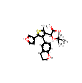 Cc1sc(-c2ccoc2)c(-c2ccc3c(c2)CCCO3)c1C(OC(C)(C)C)C(=O)O